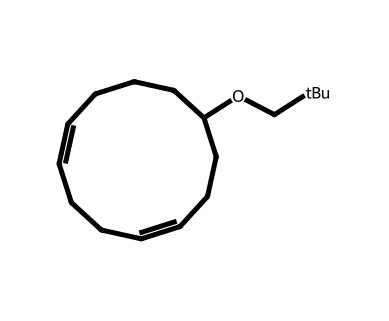 CC(C)(C)COC1CC/C=C\CC/C=C\CCC1